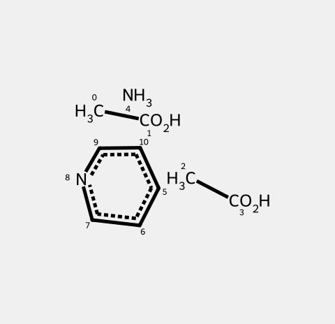 CC(=O)O.CC(=O)O.N.c1ccncc1